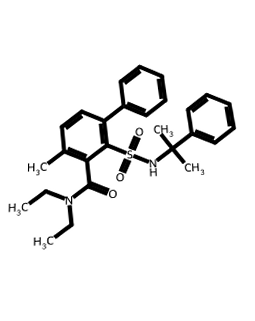 CCN(CC)C(=O)c1c(C)ccc(-c2ccccc2)c1S(=O)(=O)NC(C)(C)c1ccccc1